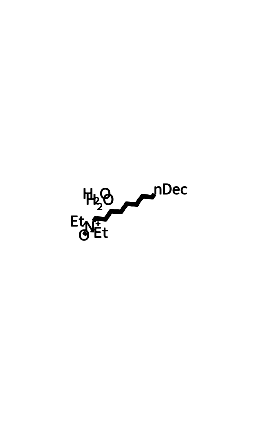 CCCCCCCCCCCCCCCCCC[N+]([O-])(CC)CC.O.O